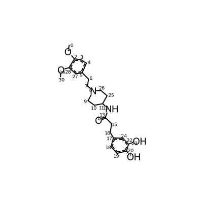 COc1ccc(CCN2CCC(NC(=O)CCc3ccc(O)c(O)c3)CC2)cc1OC